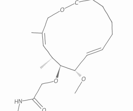 CNC(=O)CO[C@H]1[C@H](C)/C=C(/C)COCCCCC/C=C/[C@@H]1OC